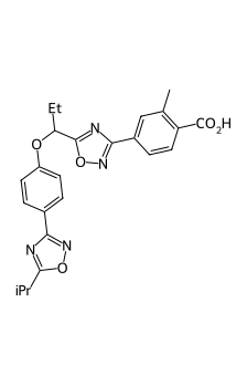 CCC(Oc1ccc(-c2noc(C(C)C)n2)cc1)c1nc(-c2ccc(C(=O)O)c(C)c2)no1